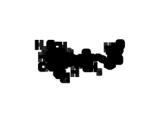 COc1cc(NC(=O)C[C@@]2(C)C[C@H](c3cccc(Cl)c3)[C@@H](c3ccc(Cl)cc3)N(C(CC(=N)NSC(C)C)C(C)C)C2=O)ccc1C(=O)NCCCC#Cc1cccc2c1CN(C1CCC(=O)NC1=O)C2=O